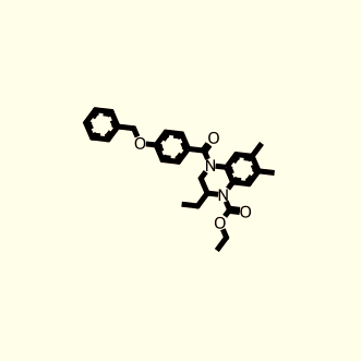 CCOC(=O)N1c2cc(C)c(C)cc2N(C(=O)c2ccc(OCc3ccccc3)cc2)CC1CC